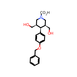 O=C(O)N1C[C@@H](CO)[C@@H](c2ccc(OCc3ccccc3)cc2)[C@@H](CO)C1